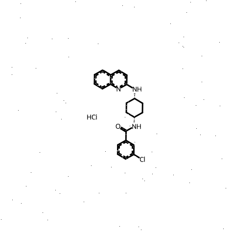 Cl.O=C(N[C@H]1CC[C@@H](Nc2ccc3ccccc3n2)CC1)c1cccc(Cl)c1